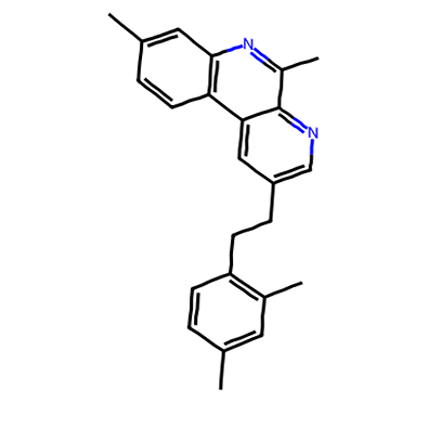 Cc1ccc(CCc2cnc3c(C)nc4cc(C)ccc4c3c2)c(C)c1